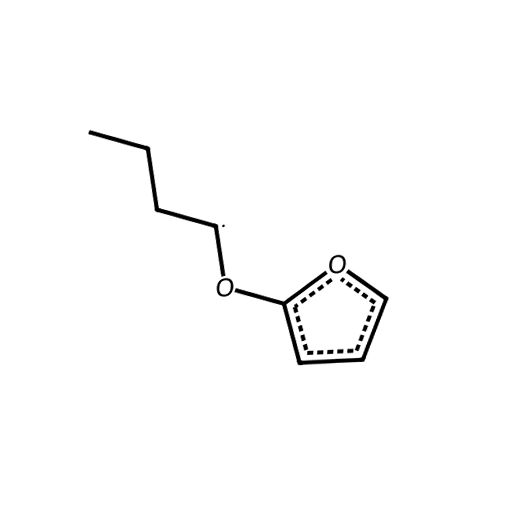 CCC[CH]Oc1ccco1